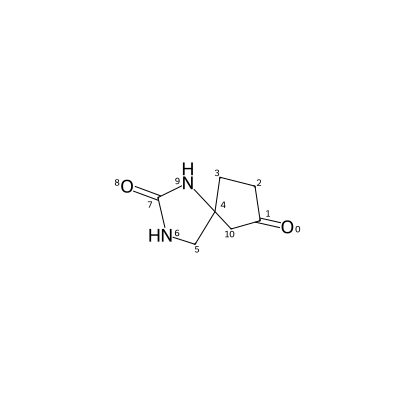 O=C1CCC2(CNC(=O)N2)C1